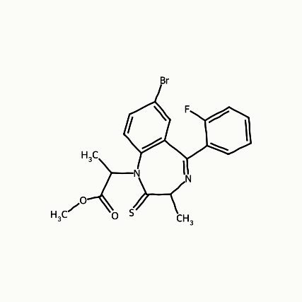 COC(=O)C(C)N1C(=S)C(C)N=C(c2ccccc2F)c2cc(Br)ccc21